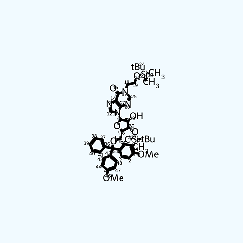 COc1ccc(C(OC[C@H]2O[C@@H](n3cnc4c(=O)n(CCO[Si](C)(C)C(C)(C)C)cnc43)[C@H](O)[C@@H]2O[Si](C)(C)C(C)(C)C)(c2ccccc2)c2ccc(OC)cc2)cc1